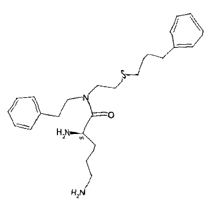 NCCC[C@@H](N)C(=O)N(CCSCCCc1ccccc1)CCc1ccccc1